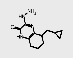 NNc1nc2c([nH]c1=O)CCCC2CC1CC1